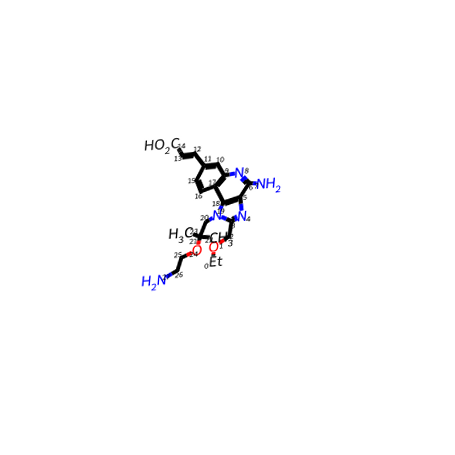 CCOCc1nc2c(N)nc3cc(/C=C/C(=O)O)ccc3c2n1CC(C)(C)OCCN